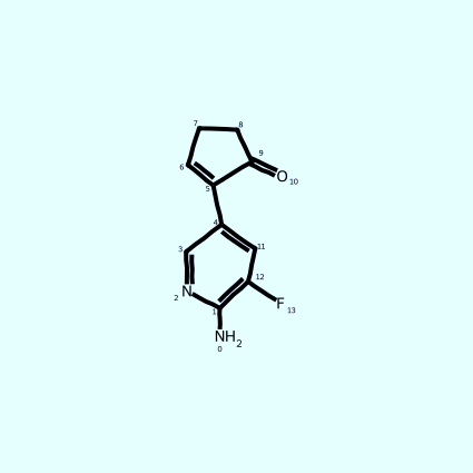 Nc1ncc(C2=CCCC2=O)cc1F